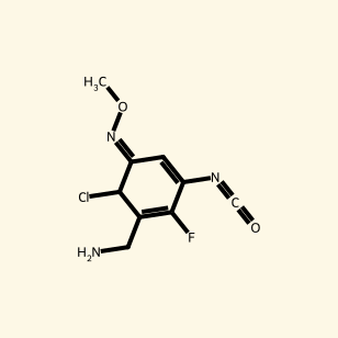 CON=C1C=C(N=C=O)C(F)=C(CN)C1Cl